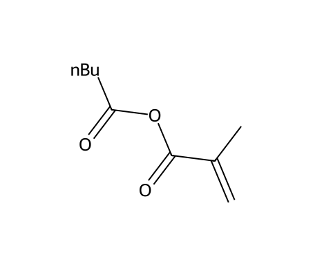 C=C(C)C(=O)OC(=O)CCCC